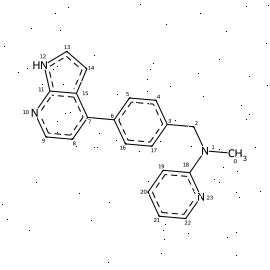 CN(Cc1ccc(-c2ccnc3[nH]ccc23)cc1)c1ccccn1